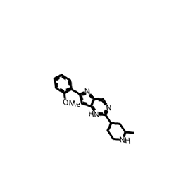 COc1ccccc1-c1cc2[nH]c(C3CCNC(C)C3)ncc-2n1